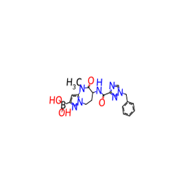 CN1C(=O)C(NC(=O)c2ncn(Cc3ccccc3)n2)CCn2nc(B(O)O)cc21